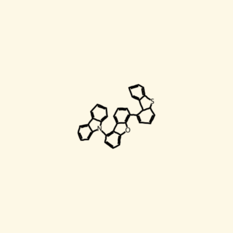 C1=CC2Sc3ccccc3C2C(c2cccc3c2oc2cccc(-n4c5ccccc5c5ccccc54)c23)=C1